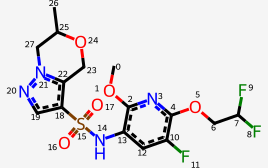 COc1nc(OCC(F)F)c(F)cc1NS(=O)(=O)c1cnn2c1COC(C)C2